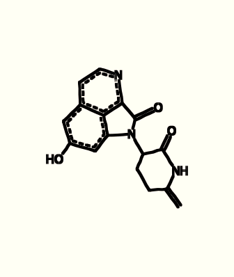 C=C1CCC(N2C(=O)c3nccc4cc(O)cc2c34)C(=O)N1